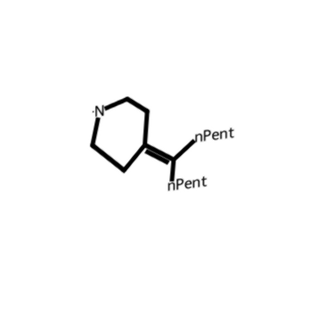 CCCCCC(CCCCC)=C1CC[N]CC1